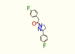 O=C(Cc1ccc(F)cc1)N1CCC(c2ccc(F)cc2)=N1